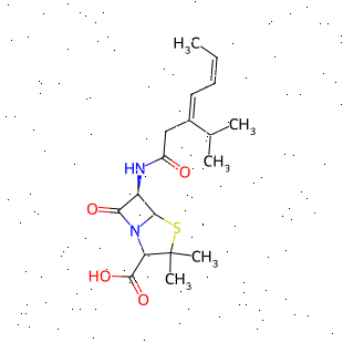 C/C=C\C=C(\CC(=O)N[C@@H]1C(=O)N2C1SC(C)(C)C2C(=O)O)C(C)C